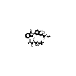 CCOC(=O)/C(Cl)=C/c1cc(N2C(=O)C3=C(CCCC3)C2=O)ccc1Cl.CNC(=O)N(C)c1nnc(C(C)(C)C)s1